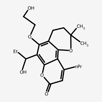 CCCc1cc(=O)oc2c(C(O)CC)c(OCCO)c3c(c12)OC(C)(C)CC3